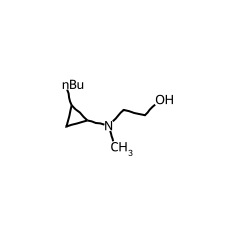 CCCCC1CC1N(C)CCO